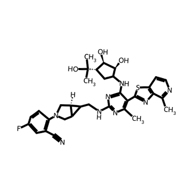 Cc1nc(NCC2C3CN(c4ccc(F)cc4C#N)C[C@@H]23)nc(NC2C[C@H](C(C)(C)O)[C@@H](O)[C@H]2O)c1-c1nc2c(C)nccc2s1